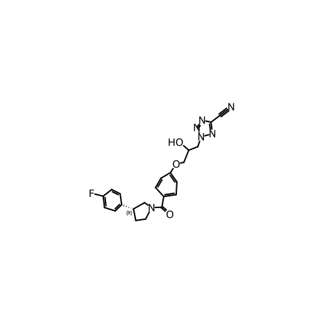 N#Cc1nnn(CC(O)COc2ccc(C(=O)N3CC[C@H](c4ccc(F)cc4)C3)cc2)n1